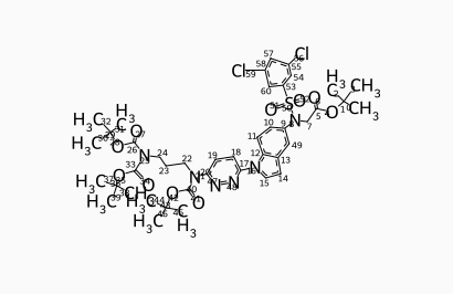 CC(C)(C)OC(=O)CN(c1ccc2c(ccn2-c2ccc(N(CCCN(C(=O)OC(C)(C)C)C(=O)OC(C)(C)C)C(=O)OC(C)(C)C)nn2)c1)S(=O)(=O)c1cc(Cl)cc(Cl)c1